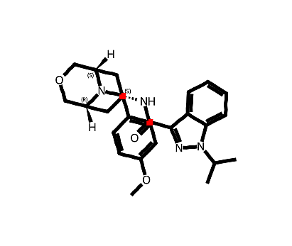 COc1ccc(CN2[C@@H]3COC[C@H]2C[C@@H](NC(=O)c2nn(C(C)C)c4ccccc24)C3)cc1